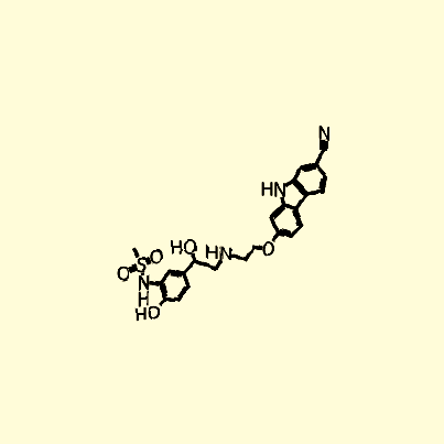 CS(=O)(=O)Nc1cc(C(O)CNCCOc2ccc3c(c2)[nH]c2cc(C#N)ccc23)ccc1O